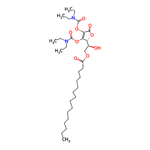 CCCCCCCCCCCCCCCC(=O)OC[C@H](O)[C@H]1OC(=O)C(OC(=O)N(CC)CC)=C1OC(=O)N(CC)CC